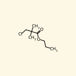 CCCOC(=O)C(C)(C)CCl